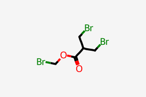 O=C(OCBr)C(CBr)CBr